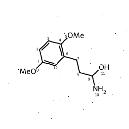 COc1ccc(OC)c(CCC(N)O)c1